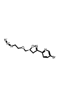 [N-]=[N+]=NCCOC[C@@H]1CC(c2ccc(Br)cn2)=NO1